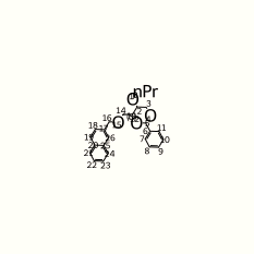 CCCOC1COC(c2ccccc2)O[C@H]1COCc1ccc2ccccc2c1